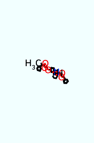 CCC(C(=O)OCOc1ccc2c(c1)[C@]13CCCC[C@@H]1[C@H](C2)N(C(=O)OCc1ccccc1)CC3)c1ccccc1